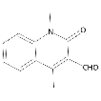 Cc1c(C=O)c(=O)n(C)c2ccccc12